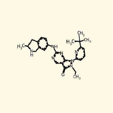 CCn1c(=O)c2cnc(Nc3ccc4c(c3)CNC(C)C4)nc2n1-c1cccc(C(C)(C)C)n1